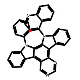 c1ccc(-n2c3ccccc3c3c4cncnc4c4c5ccccc5n(-c5ccnc6ccccc56)c4c32)cc1